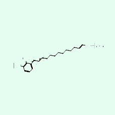 CCCCCCC=CCCCCCCCCCCCc1cccc(O)c1C(=O)O